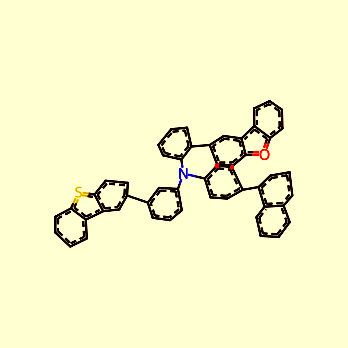 c1cc(-c2ccc3sc4ccccc4c3c2)cc(N(c2ccc(-c3cccc4ccccc34)cc2)c2ccccc2-c2ccc3oc4ccccc4c3c2)c1